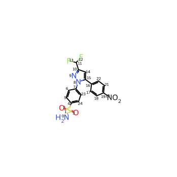 NS(=O)(=O)c1ccc(-n2nc(C(F)F)cc2-c2ccc([N+](=O)[O-])cc2)cc1